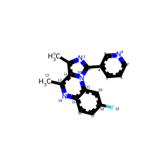 Cc1nc(-c2cccnc2)n2c1c(C)nc1ccc(F)cc12